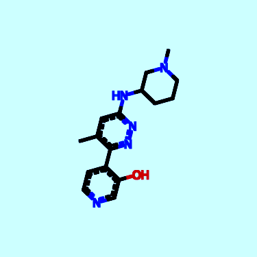 Cc1cc(NC2CCCN(C)C2)nnc1-c1ccncc1O